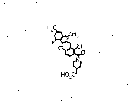 Cn1c(Cc2c(Cl)ccc(C(=O)N3CCC(CC(=O)O)CC3)c2Cl)cc2c1C=C(C(F)(F)F)CC2F